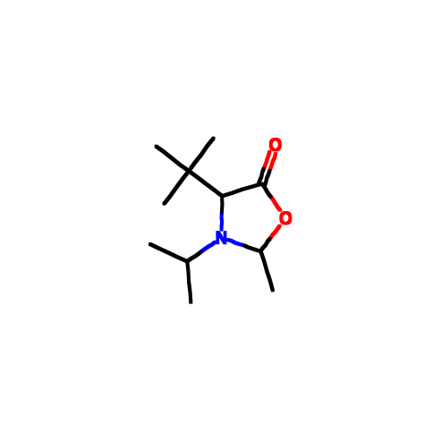 CC(C)N1C(C)OC(=O)C1C(C)(C)C